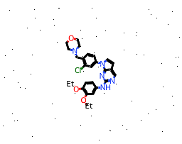 CCOc1ccc(Nc2ncc3ccn(-c4ccc(CN5CCOCC5)c(Cl)c4)c3n2)cc1OCC